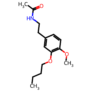 CCCCOc1cc(CCNC(C)=O)ccc1OC